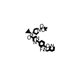 CN(Cc1cccnc1)C(=O)c1ccc(-c2ncc(C(=O)N(C3CC3)C3CCN(C(=O)OC(C)(C)C)CC3)cn2)cc1F